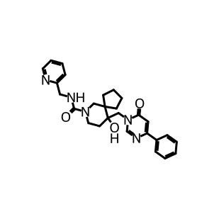 O=C(NCc1ccccn1)N1CCC(O)(Cn2cnc(-c3ccccc3)cc2=O)C2(CCCC2)C1